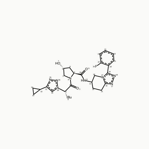 CC(C)(C)[C@@H](C(=O)N1C[C@H](O)C[C@H]1C(=O)NC1CCc2nnc(-c3ccccc3F)n2C1)n1cc(C2CC2)nn1